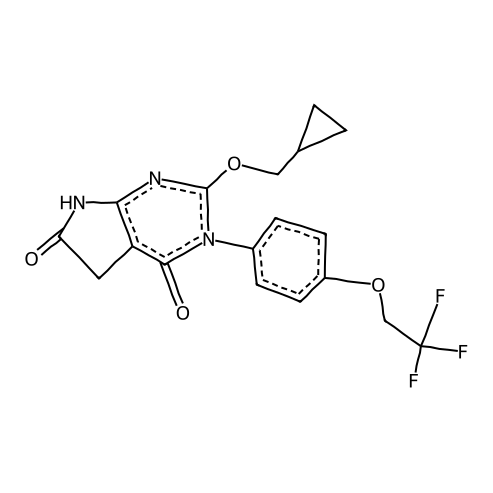 O=C1Cc2c(nc(OCC3CC3)n(-c3ccc(OCC(F)(F)F)cc3)c2=O)N1